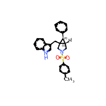 Cc1ccc(S(=O)(=O)N2C[C@H]3[C@H](c4ccccc4)C3(Cc3c[nH]c4ccccc34)C2)cc1